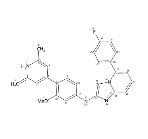 C=C/C=C(\C=C(\C)N)c1ccc(Nc2nc3cccc(-c4ccc(F)cc4)n3n2)cc1OC